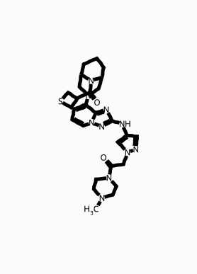 CN1CCN(C(=O)Cn2cc(Nc3nc4c(N5CC6CCCC(C5)N6C(=O)C5CSC5)cccn4n3)cn2)CC1